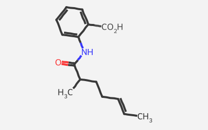 CC=CCCC(C)C(=O)Nc1ccccc1C(=O)O